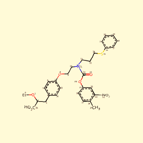 CCOC(Cc1ccc(OCCN(CCCSc2ccccc2)C(=O)Oc2ccc(C)c([N+](=O)[O-])c2)cc1)C(=O)O